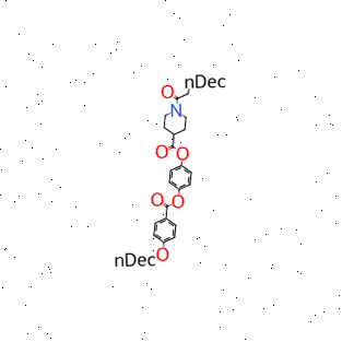 CCCCCCCCCCCC(=O)N1CCC(C(=O)Oc2ccc(OC(=O)c3ccc(OCCCCCCCCCC)cc3)cc2)CC1